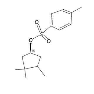 Cc1ccc(S(=O)(=O)O[C@H]2CC(C)C(C)(C)C2)cc1